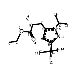 CCOC(=O)[C@H](C)Cc1cc(C(F)(F)F)nn1C(C)C